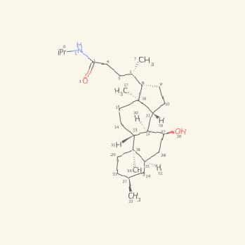 CC(C)NC(=O)CC[C@H](C)[C@@H]1CC[C@@H]2[C@@H]3[C@@H](CC[C@]21C)[C@]1(C)CC[C@H](C)C[C@@H]1C[C@@H]3O